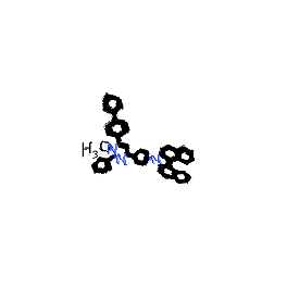 CN1C(c2ccc(-c3ccccc3)cc2)=CC(c2ccc(-n3c4ccc5ccccc5c4c4c5ccccc5ccc43)cc2)=NC1c1ccccc1